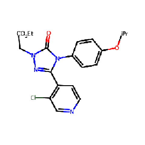 CCOC(=O)Cn1nc(-c2ccncc2Cl)n(-c2ccc(OC(C)C)cc2)c1=O